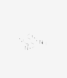 CN1CCN(c2ccccc2-c2cccn3ncc(C#N)c23)CC1